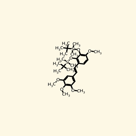 COc1cc(/C=C/c2ccc(OC)c(O[Si](C)(C)C(C)(C)C)c2O[Si](C)(C)C(C)(C)C)cc(OC)c1OC